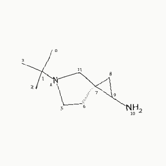 CC(C)(C)N1CC[C@@]2(CC2N)C1